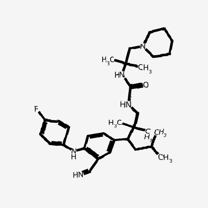 CC(C)CC(c1ccc(Nc2ccc(F)cc2)c(C=N)c1)C(C)(C)CNC(=O)NC(C)(C)CN1CCCCC1